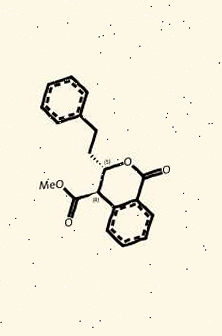 COC(=O)[C@@H]1c2ccccc2C(=O)O[C@H]1CCc1ccccc1